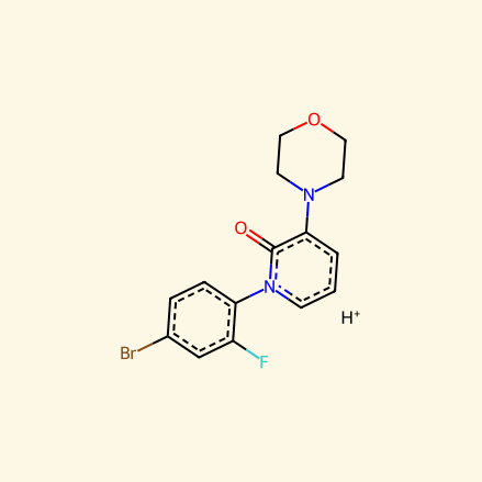 O=c1c(N2CCOCC2)cccn1-c1ccc(Br)cc1F.[H+]